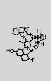 C#Cc1c(F)ccc2cc(O)cc(-c3nc4c5c(nc(=O)n(C[C@@]67CCCN6C[C@H](F)C7)c5c3F)N3C[C@H]5CC[C@H](N5)[C@H]3CO4)c12